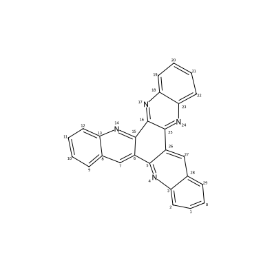 c1ccc2nc3c4cc5ccccc5nc4c4nc5ccccc5nc4c3cc2c1